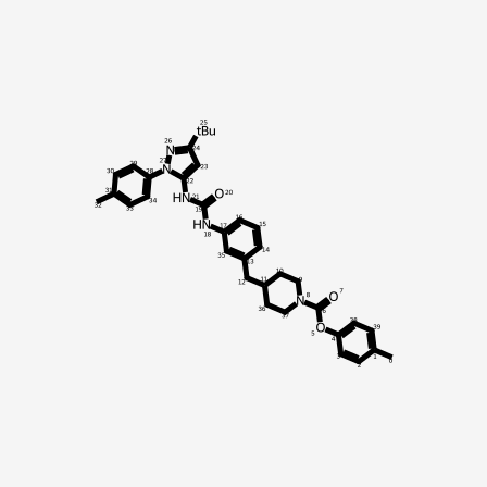 Cc1ccc(OC(=O)N2CCC(Cc3cccc(NC(=O)Nc4cc(C(C)(C)C)nn4-c4ccc(C)cc4)c3)CC2)cc1